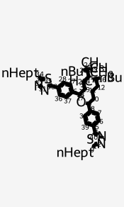 CCCCCCCc1nnc(-c2ccc(C(CCCC(C)(C)CCCC)OC(CCCC(C)(C)CCCC)c3ccc(-c4nnc(CCCCCCC)s4)cc3)cc2)s1